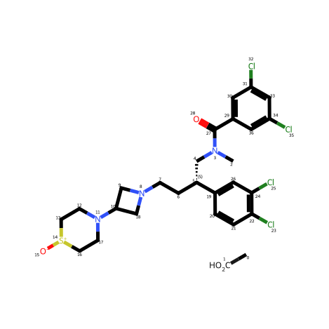 CC(=O)O.CN(C[C@@H](CCN1CC(N2CC[S+]([O-])CC2)C1)c1ccc(Cl)c(Cl)c1)C(=O)c1cc(Cl)cc(Cl)c1